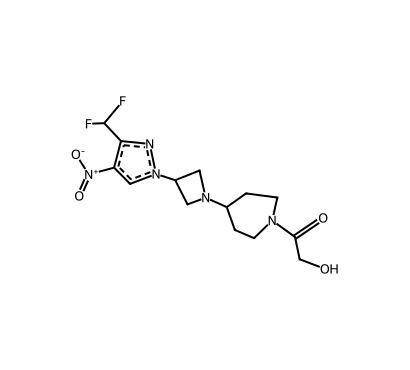 O=C(CO)N1CCC(N2CC(n3cc([N+](=O)[O-])c(C(F)F)n3)C2)CC1